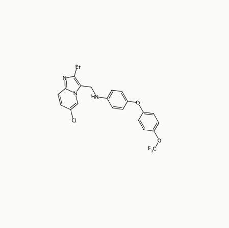 CCc1nc2ccc(Cl)cn2c1CNc1ccc(Oc2ccc(OC(F)(F)F)cc2)cc1